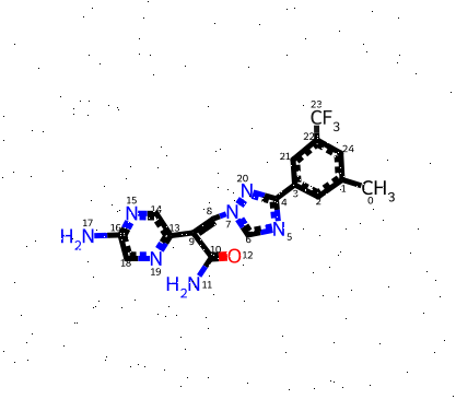 Cc1cc(-c2ncn(/C=C(\C(N)=O)c3cnc(N)cn3)n2)cc(C(F)(F)F)c1